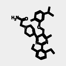 CCc1cccc(CC)c1-c1nc(C)c(COc2cc(C(C)C)ccc2C)c(C2=CCN(CC(N)=O)CC2)n1